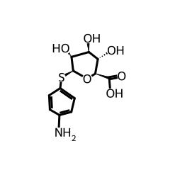 Nc1ccc(S[C@@H]2O[C@H](C(=O)O)[C@@H](O)[C@H](O)[C@H]2O)cc1